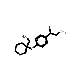 CCC(I)c1ccc(OC2(CC)CCCCC2)cc1